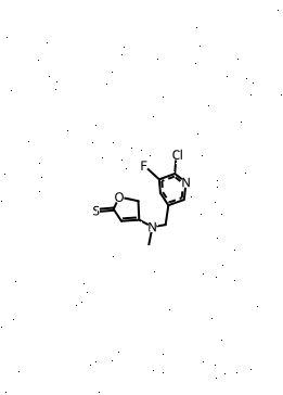 CN(Cc1cnc(Cl)c(F)c1)C1=CC(=S)OC1